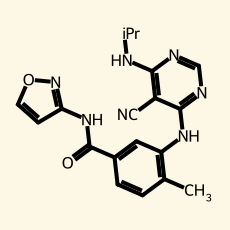 Cc1ccc(C(=O)Nc2ccon2)cc1Nc1ncnc(NC(C)C)c1C#N